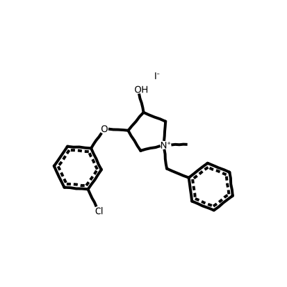 C[N+]1(Cc2ccccc2)CC(O)C(Oc2cccc(Cl)c2)C1.[I-]